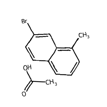 CC(=O)O.Cc1cccc2ccc(Br)cc12